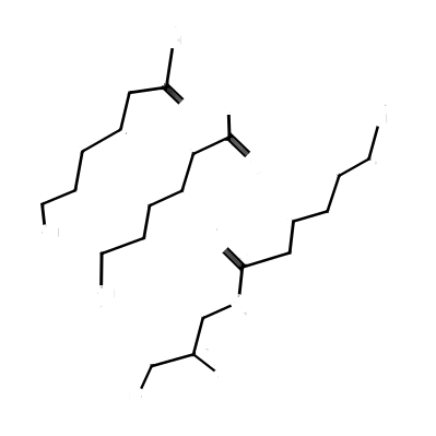 CCCCCCC(=O)O.CCCCCCC(=O)O.CCCCCCC(=O)OCC(O)CO